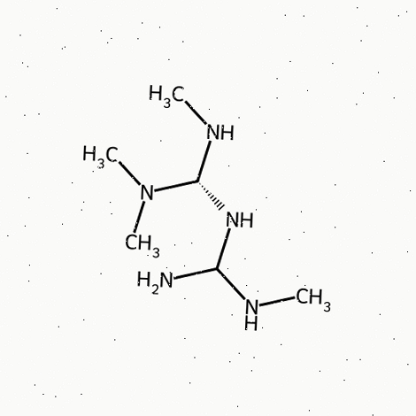 CNC(N)N[C@@H](NC)N(C)C